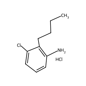 CCCCc1c(N)cccc1Cl.Cl